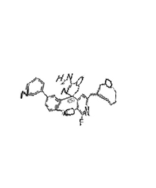 NC1=N[C@@]2(CO1)c1cc(-c3cccnc3)ccc1Oc1c2cc(C2=CCCOC2)nc1F